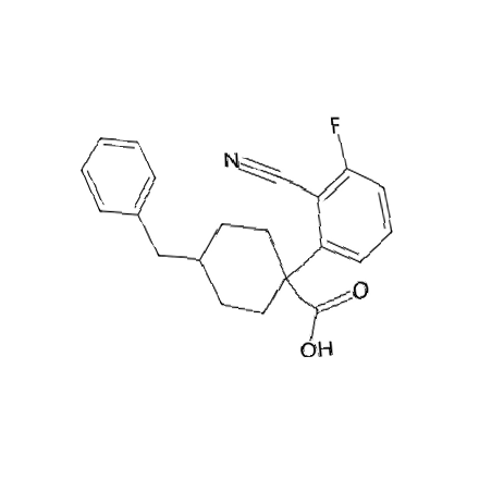 N#Cc1c(F)cccc1C1(C(=O)O)CCC(Cc2ccccc2)CC1